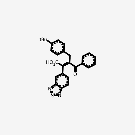 CC(C)(C)c1ccc(C/C(C(=O)c2ccccc2)=C(\C(=O)O)c2ccc3nsnc3c2)cc1